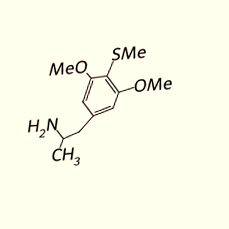 COc1cc(CC(C)N)cc(OC)c1SC